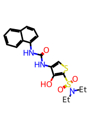 CCN(CC)S(=O)(=O)c1scc(NC(=O)Nc2cccc3ccccc23)c1O